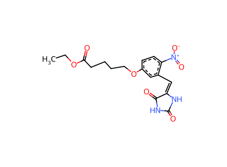 CCOC(=O)CCCCOc1ccc([N+](=O)[O-])c(C=C2NC(=O)NC2=O)c1